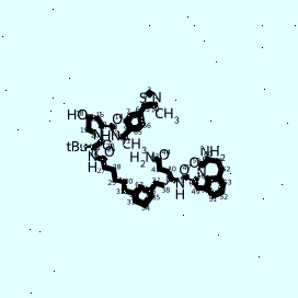 Cc1ncsc1-c1ccc([C@H](C)NC(=O)[C@@H]2C[C@@H](O)CN2C(=O)[C@@H](NC(=O)CCCCCc2cccc(CC[C@H](CCC(N)=O)NC(=O)[C@@H]3Cc4cccc5c4N3C(=O)[C@@H](N)CC5)c2)C(C)(C)C)cc1